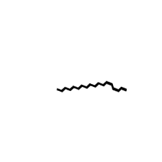 C=C/C=C\C=C/CCCCCCCCCCCC